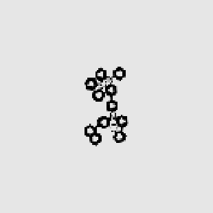 c1ccc(N2c3ccccc3[Si](c3ccccc3)(c3ccccc3)c3cc(-c4ccc(N(c5ccc(-c6cccc7ccccc67)cc5)c5cccc6c5oc5ccccc56)cc4)ccc32)cc1